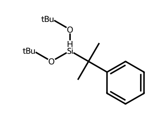 CC(C)(C)O[SiH](OC(C)(C)C)C(C)(C)c1ccccc1